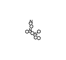 c1ccc(-n2c3cc4c(cc3c3ccc5ccccc5c32)c2ccccc2n4-c2ccc3cnccc3c2)cc1